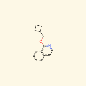 c1ccc2c(OCC3CCC3)nccc2c1